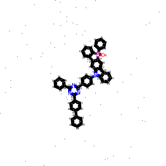 O=P1(c2ccccc2)c2ccccc2-c2cc3c(cc21)c1ccccc1n3-c1ccc(-c2nc(-c3ccccc3)nc(-c3ccc(-c4ccccc4)cc3)n2)cc1